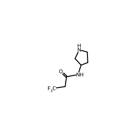 O=C(CC(F)(F)F)NC1CCNC1